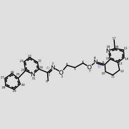 C/C(=N\OCCCO/N=C1\CCCc2ccc(C)nc21)c1cccc(-c2ccccc2)n1